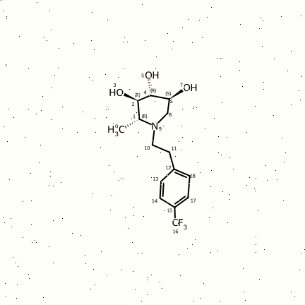 C[C@@H]1[C@@H](O)[C@H](O)[C@@H](O)CN1CCc1ccc(C(F)(F)F)cc1